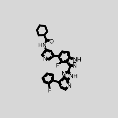 O=C(Nc1cncc(-c2ccc3[nH]nc(-c4nc5c(-c6ccccc6F)ccnc5[nH]4)c3c2F)c1)C1CCCCC1